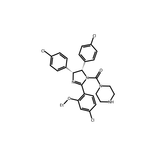 CCOc1cc(Cl)ccc1C1=N[C@H](c2ccc(Cl)cc2)[C@H](c2ccc(Cl)cc2)N1C(=O)N1CCNCC1